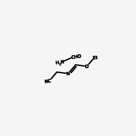 CCOC=NCC#N.NC=O